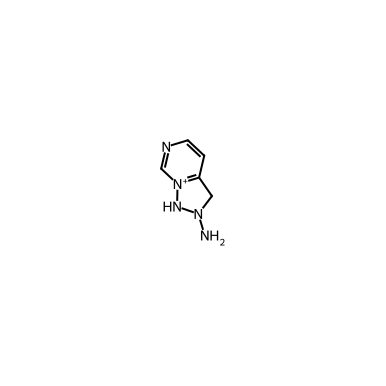 NN1Cc2ccnc[n+]2N1